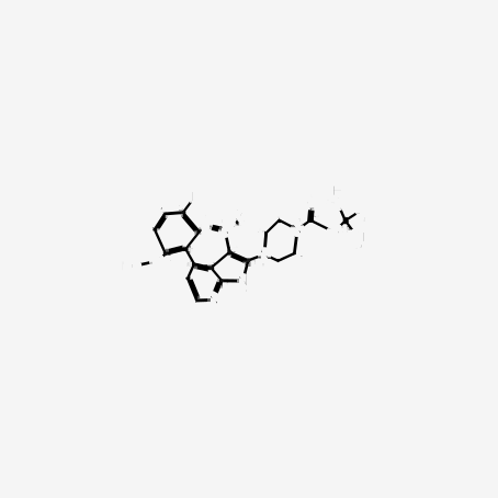 COc1ccc(F)cc1-c1ccnc2[nH]c(N3CCN(C(=O)OC(C)(C)C)CC3)c([N+](=O)[O-])c12